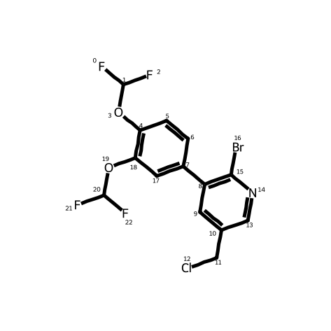 FC(F)Oc1ccc(-c2cc(CCl)cnc2Br)cc1OC(F)F